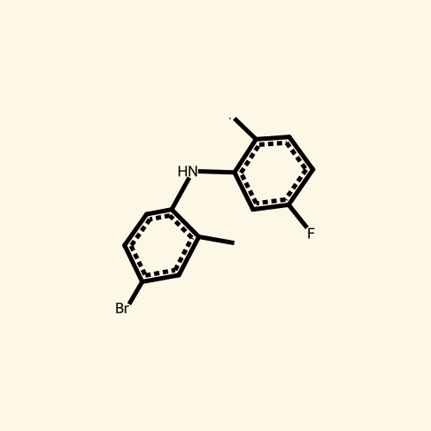 [CH2]c1ccc(F)cc1Nc1ccc(Br)cc1C